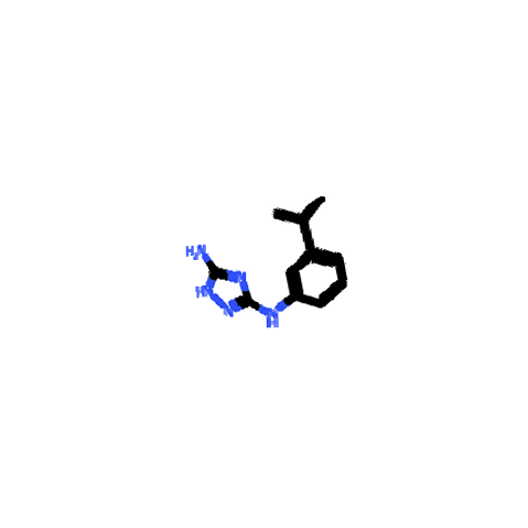 CC(C)c1cccc(Nc2n[nH]c(N)n2)c1